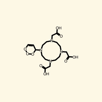 O=C(O)CN1CCN(CC(=O)O)CCN(C2C=COOO2)CCN(CC(=O)O)CC1